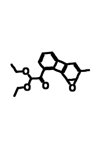 CCOC(OCC)C(=O)c1cccc2c1C1=C2C=C(C)C2OC12